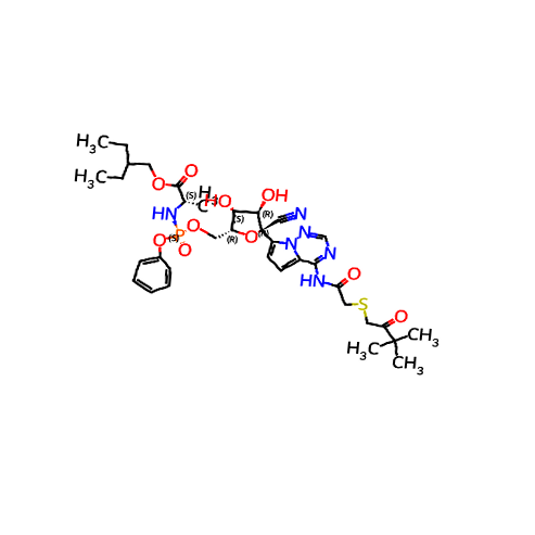 CCC(CC)COC(=O)[C@H](C)N[P@](=O)(OC[C@H]1O[C@@](C#N)(c2ccc3c(NC(=O)CSCC(=O)C(C)(C)C)ncnn23)[C@H](O)[C@@H]1O)Oc1ccccc1